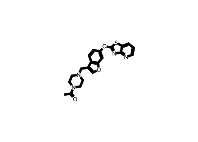 CC(=O)N1CCN(Cc2coc3cc(Oc4nc5ncccc5s4)ccc23)CC1